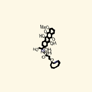 COc1cccc2c1C(=O)c1c(O)c3c(c(O)c1C2=O)C[C@@](O)(/C(CO)=N\NC(=O)CCOC1/C=C/CCCCC1)CC3